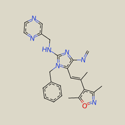 C=Nc1nc(NCc2cnccn2)n(Cc2ccccc2)c1/C=C(\C)c1c(C)noc1C